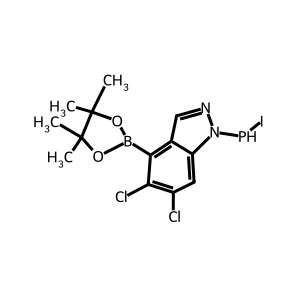 CC1(C)OB(c2c(Cl)c(Cl)cc3c2cnn3PI)OC1(C)C